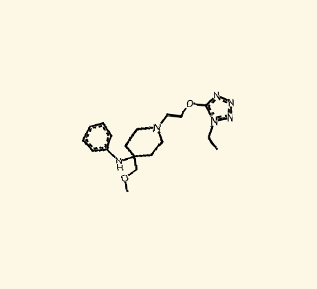 CCn1nnnc1OCCN1CCC(COC)(Nc2ccccc2)CC1